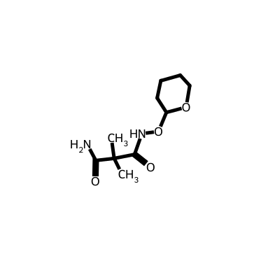 CC(C)(C(N)=O)C(=O)NOC1CCCCO1